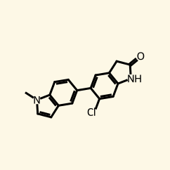 Cn1ccc2cc(-c3cc4c(cc3Cl)NC(=O)C4)ccc21